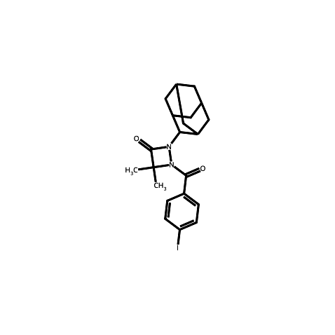 CC1(C)C(=O)N(C2C3CC4CC(C3)CC2C4)N1C(=O)c1ccc(I)cc1